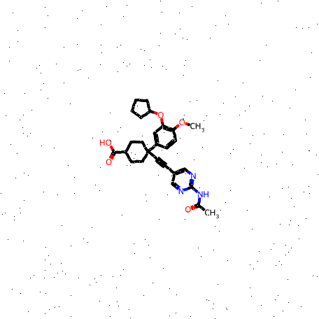 COc1ccc(C2(C#Cc3cnc(NC(C)=O)nc3)CCC(C(=O)O)CC2)cc1OC1CCCC1